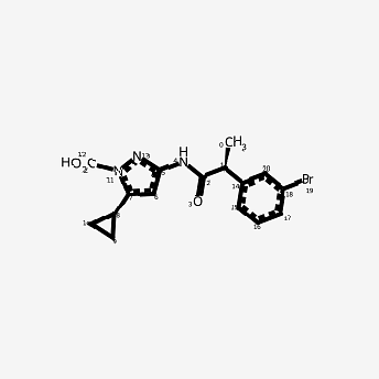 C[C@H](C(=O)Nc1cc(C2CC2)n(C(=O)O)n1)c1cccc(Br)c1